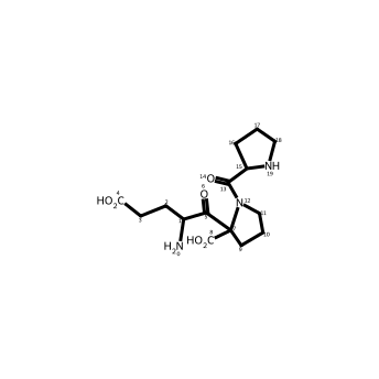 NC(CCC(=O)O)C(=O)C1(C(=O)O)CCCN1C(=O)C1CCCN1